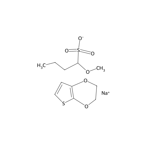 CCCC(OC)S(=O)(=O)[O-].[Na+].c1cc2c(s1)OCCO2